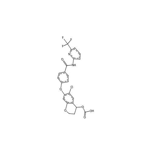 O=C(O)OC1CCOc2cc(Oc3ccc(C(=O)Nc4cccc(C(F)(F)F)n4)cc3)c(Cl)cc21